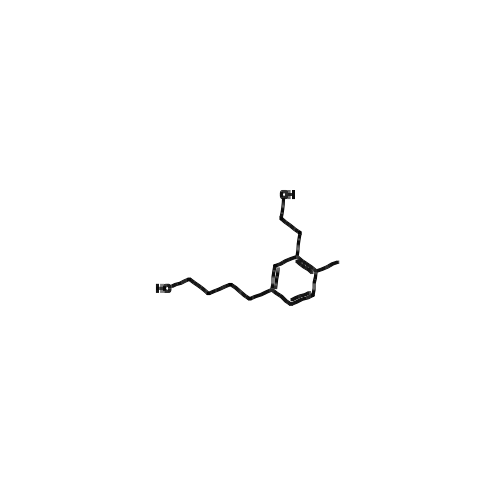 Cc1ccc(CCCCO)cc1CCO